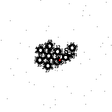 CC(C)(C)c1ccc2c(c1-c1cccc(-c3c(-c4ccccc4)c(-c4ccccc4)c(-c4ccccc4)c(-c4ccccc4)c3-c3ccccc3)c1)Sc1ccccc1[Si]2(C)C